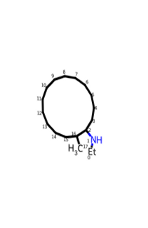 CCNC1CCCCCCCCCCCCCC1C